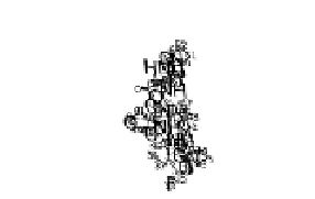 C=C[C@@H]1C[C@]1(NC(=O)[C@@H]1C[C@@]2(CN1C(=O)[C@@H](NC(=O)C(NOC[C@@H]1CCCN1C(=O)OCCF)C1CCCCC1)C1CCOCC1)C(C)(C)C21CCC1)C(=O)NS(=O)(=O)N1CCCC1